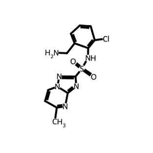 Cc1ccn2nc(S(=O)(=O)Nc3c(Cl)cccc3CN)nc2n1